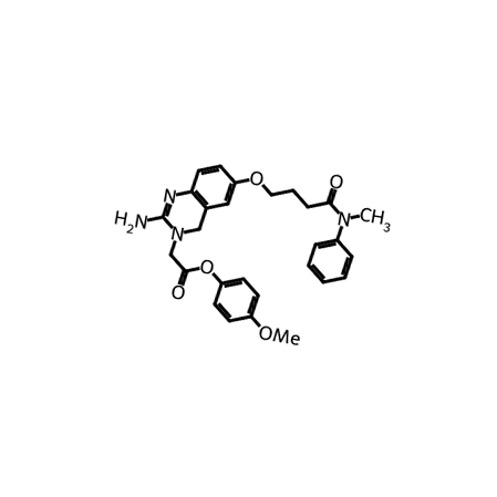 COc1ccc(OC(=O)CN2Cc3cc(OCCCC(=O)N(C)c4ccccc4)ccc3N=C2N)cc1